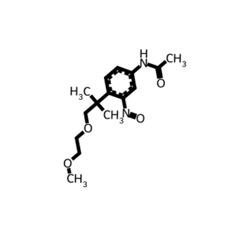 COCCOCC(C)(C)c1ccc(NC(C)=O)cc1N=O